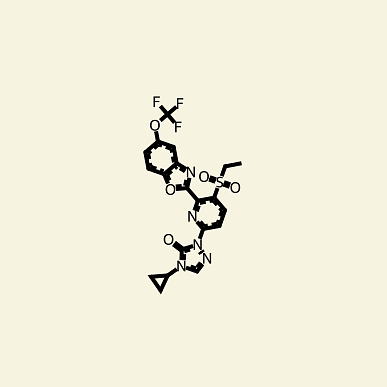 CCS(=O)(=O)c1ccc(-n2ncn(C3CC3)c2=O)nc1-c1nc2cc(OC(F)(F)F)ccc2o1